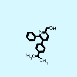 CC(C)c1ccc(-c2ccc(CO)nc2-c2ccccc2)cc1